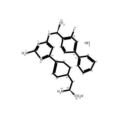 Cl.Nc1nc(O[C@H](c2ccc(-c3ccccc3)cc2F)C(F)(F)F)cc(C2=CCC(C[C@H](N)C(=O)O)CC2)n1